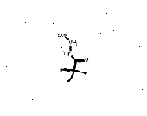 CC(C)(C)C(=O)PPN=O